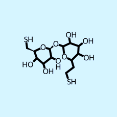 OC1C(CCS)OC(O[C@@H]2O[C@H](CS)C(O)C(O)C2O)C(O)C1O